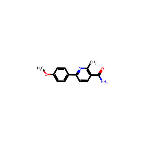 COc1ccc(-c2ccc(C(N)=O)c(C)n2)cc1